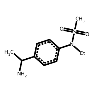 CCN(c1ccc(C(C)N)cc1)S(C)(=O)=O